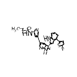 CCCC(=O)Nc1cncc(-c2cnc3[nH]nc(-c4cc5c(-c6ccc(F)s6)cccc5[nH]4)c3c2)c1